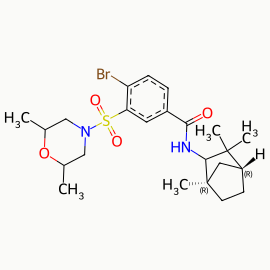 CC1CN(S(=O)(=O)c2cc(C(=O)NC3C(C)(C)[C@@H]4CC[C@]3(C)C4)ccc2Br)CC(C)O1